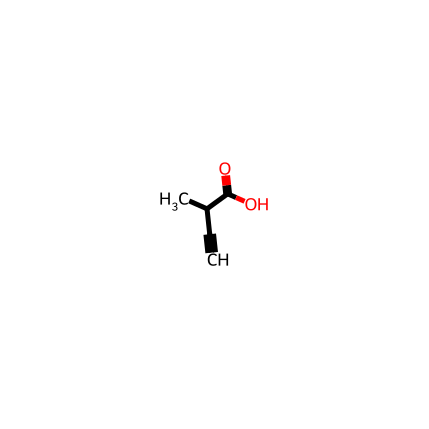 C#CC(C)C(=O)O